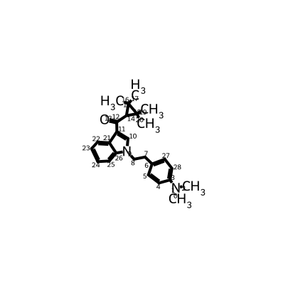 CN(C)c1ccc(CCn2cc(C(=O)C3C(C)(C)C3(C)C)c3ccccc32)cc1